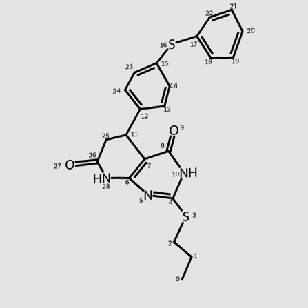 CCCSc1nc2c(c(=O)[nH]1)C(c1ccc(Sc3ccccc3)cc1)CC(=O)N2